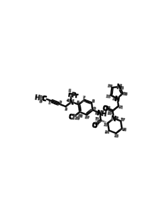 CC#CCN(CCC)c1ccc(NC(=O)[C@H]2CCCCN2C(=O)Cn2ccnc2)cc1Cl